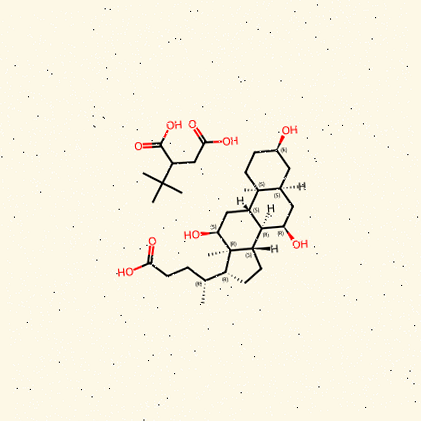 CC(C)(C)C(CC(=O)O)C(=O)O.C[C@H](CCC(=O)O)[C@H]1CC[C@H]2[C@@H]3[C@H](O)C[C@@H]4C[C@H](O)CC[C@]4(C)[C@H]3C[C@H](O)[C@]12C